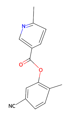 Cc1ccc(C(=O)Oc2cc(C#N)ccc2C)cn1